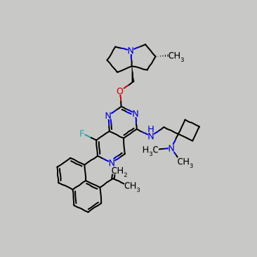 C=C(C)c1cccc2cccc(-c3ncc4c(NCC5(N(C)C)CCC5)nc(OC[C@@]56CCCN5C[C@H](C)C6)nc4c3F)c12